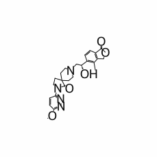 COc1ccc(N2CCC3(CCN(C[C@H](O)c4ccc5c(c4C)COC5=O)CC3)C2=O)nn1